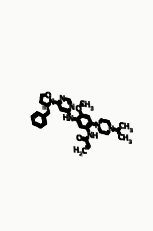 C=CC(=O)Nc1cc(Nc2cc(N3OCC[C@@H]3Cc3ccccc3)ncn2)c(OC)cc1N1CCN(C(C)C)CC1